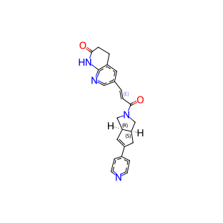 O=C1CCc2cc(/C=C/C(=O)N3C[C@H]4CC(c5ccncc5)=C[C@H]4C3)cnc2N1